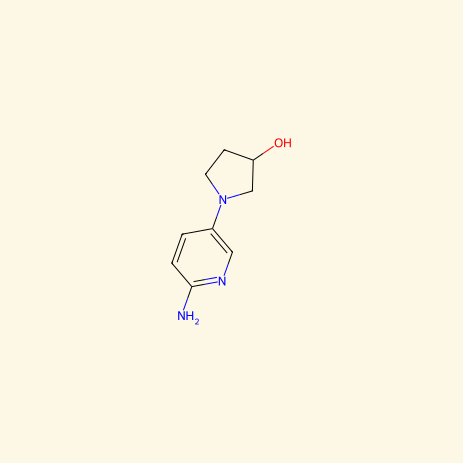 Nc1ccc(N2CCC(O)C2)cn1